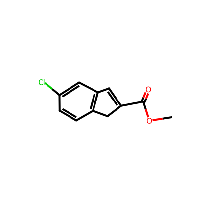 COC(=O)C1=Cc2cc(Cl)ccc2C1